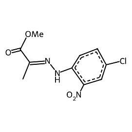 COC(=O)/C(C)=N/Nc1ccc(Cl)cc1[N+](=O)[O-]